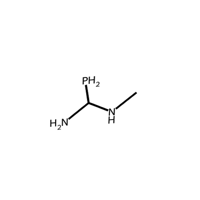 CNC(N)P